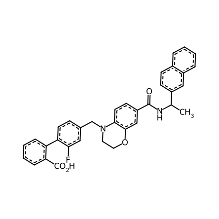 CC(NC(=O)c1ccc2c(c1)OCCN2Cc1ccc(-c2ccccc2C(=O)O)c(F)c1)c1ccc2ccccc2c1